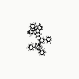 c1ccc(-c2cc(-c3ccc4c(c3)-c3ccccc3C4(c3ccccc3)c3ccccc3)cc(-c3nc(-c4ccccc4)nc(-c4ccccc4)n3)c2)cc1